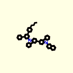 CCCCc1ccc(-c2cc(-c3ccccc3)cc(-n3c4ccccc4c4cc(-c5ccc6c(c5)c5ccccc5n6-c5ccc6ccccc6c5)ccc43)c2)cc1